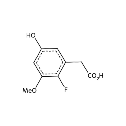 COc1cc(O)cc(CC(=O)O)c1F